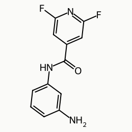 Nc1cccc(NC(=O)c2cc(F)nc(F)c2)c1